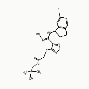 CC(C)(O)CNC(=O)CSc1nonc1/C(=N/O)NC1CCc2ccc(F)cc21